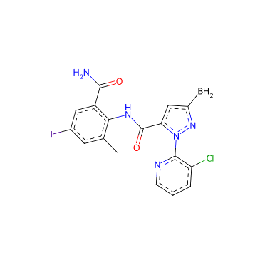 Bc1cc(C(=O)Nc2c(C)cc(I)cc2C(N)=O)n(-c2ncccc2Cl)n1